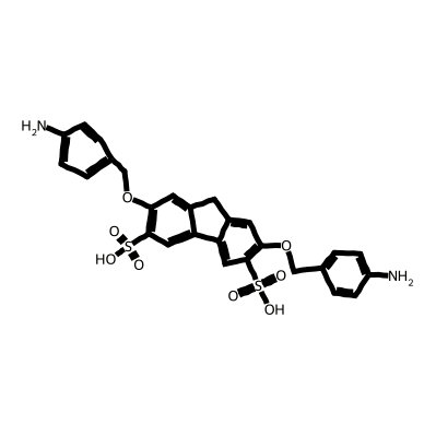 Nc1ccc(COc2cc3c(cc2S(=O)(=O)O)-c2cc(S(=O)(=O)O)c(OCc4ccc(N)cc4)cc2C3)cc1